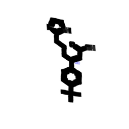 CC(C)(C)c1ccc(/C(=C/C(=O)O)CCCc2ncc[nH]2)cc1